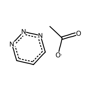 CC([O])=O.c1cnnnc1